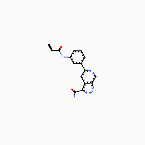 C=CC(=O)Nc1cccc(-c2cc3c(C(N)=O)n[nH]c3cn2)c1